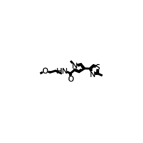 COCCCNC(=O)c1cc(-c2csc(C)n2)cn1C